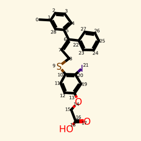 Cc1cccc(C(=CCSc2ccc(OCC(=O)O)cc2I)c2ccccc2)c1